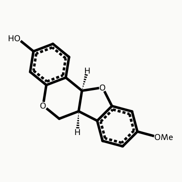 COc1ccc2c(c1)O[C@@H]1c3ccc(O)cc3OC[C@H]21